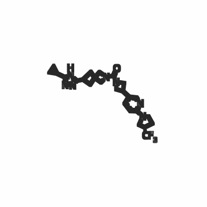 O=C(N1CC(c2ccc(N3CC[C@@H](C(F)(F)F)C3)nc2)C1)N1CC2(CC(c3nnc(C4CC4)[nH]3)C2)C1